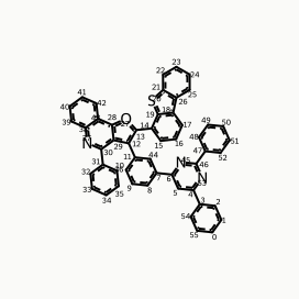 c1ccc(-c2cc(-c3cccc(-c4c(-c5cccc6c5sc5ccccc56)oc5c4c(-c4ccccc4)nc4ccccc45)c3)nc(-c3ccccc3)n2)cc1